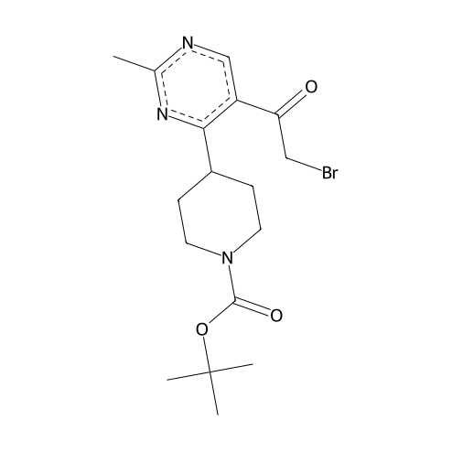 Cc1ncc(C(=O)CBr)c(C2CCN(C(=O)OC(C)(C)C)CC2)n1